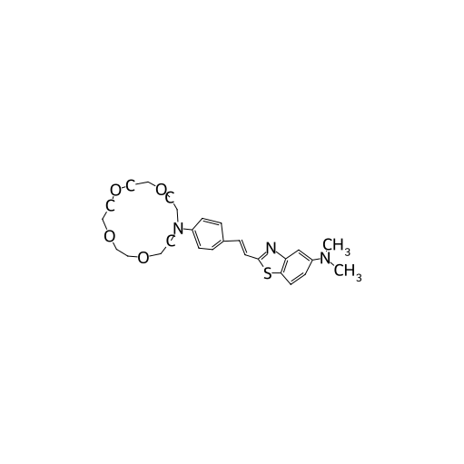 CN(C)c1ccc2sc(/C=C/c3ccc(N4CCOCCOCCOCCOCC4)cc3)nc2c1